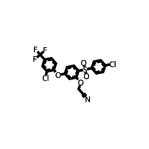 N#CCOc1cc(Oc2ccc(C(F)(F)F)cc2Cl)ccc1S(=O)(=O)c1ccc(Cl)cc1